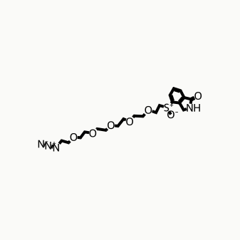 [N-]=[N+]=NCCOCCOCCOCCOCCOCC[S+]([O-])c1cccc2c1CNC2=O